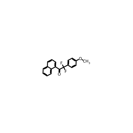 COc1ccc(C(F)(F)C(=O)c2cccc3ccccc23)cc1